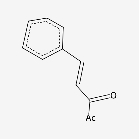 CC(=O)C(=O)C=Cc1ccccc1